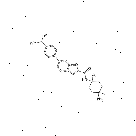 CCCC(CCC)c1ccc(-c2ccc3cc(C(=O)NC4(C(C)=O)CCC(C)(P)CC4)oc3c2)cc1